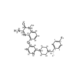 C[C@@H](c1ccc(F)cc1)N1CCN(c2cc(Oc3cccc4c3nc(N)c(=O)n4C)ncn2)CC1